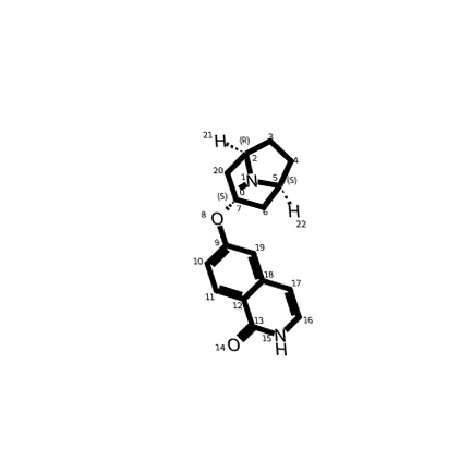 CN1[C@@H]2CC[C@H]1C[C@H](Oc1ccc3c(=O)[nH]ccc3c1)C2